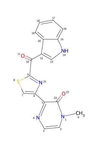 Cn1ccnc(-c2csc(C(=O)c3c[nH]c4ccccc34)n2)c1=O